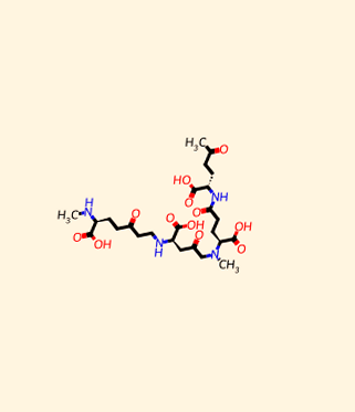 CN[C@@H](CCC(=O)CCN[C@H](CC(=O)CN(C)[C@@H](CCC(=O)N[C@@H](CCC(C)=O)C(=O)O)C(=O)O)C(=O)O)C(=O)O